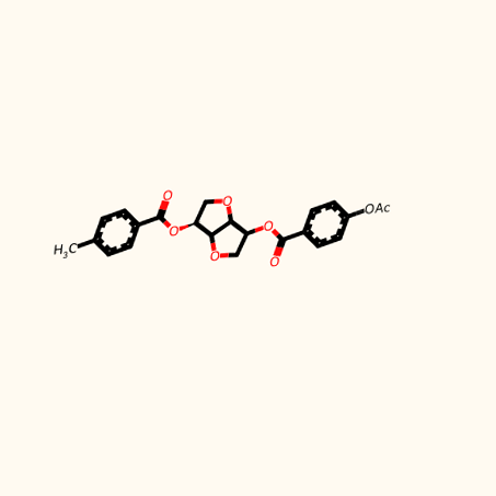 CC(=O)Oc1ccc(C(=O)OC2COC3C2OC[C@@H]3OC(=O)c2ccc(C)cc2)cc1